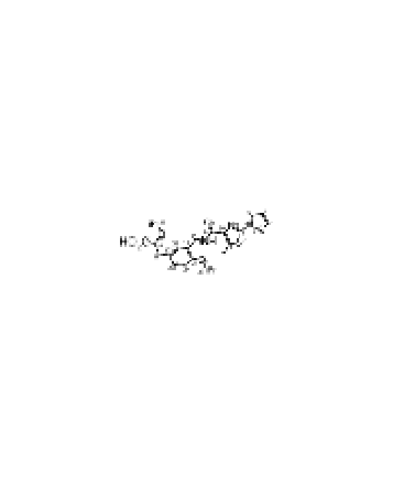 Cc1sc(-c2cccs2)nc1C(=O)NCc1cc(CC(OC(C)C)C(=O)O)ccc1OC(C)C